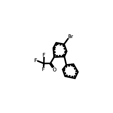 O=C(c1ccc(Br)cc1-c1ccccc1)C(F)(F)F